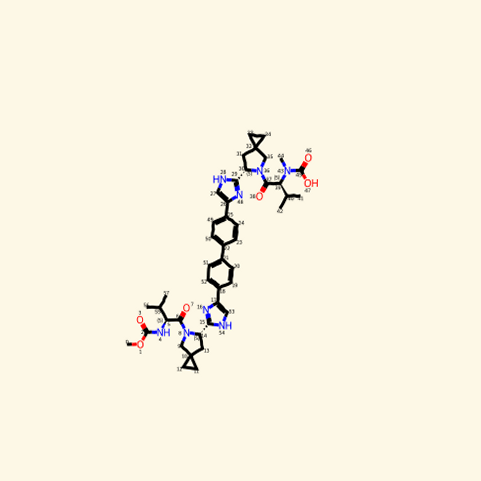 COC(=O)N[C@H](C(=O)N1CC2(CC2)C[C@H]1c1nc(-c2ccc(-c3ccc(-c4c[nH]c([C@@H]5CC6(CC6)CN5C(=O)[C@H](C(C)C)N(C)C(=O)O)n4)cc3)cc2)c[nH]1)C(C)C